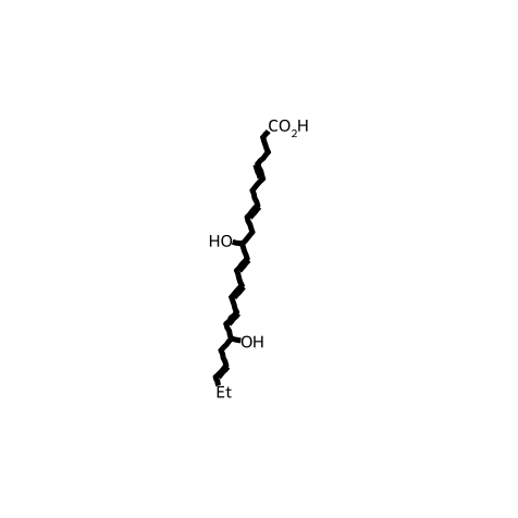 CC/C=C/CC(O)/C=C/C=C/C=C/C(O)C/C=C/C/C=C/CCC(=O)O